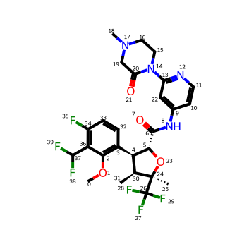 COc1c([C@H]2[C@H](C(=O)Nc3ccnc(N4CCN(C)CC4=O)c3)O[C@@](C)(C(F)(F)F)[C@H]2C)ccc(F)c1C(F)F